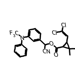 CC1(C)C(C=C(Cl)Cl)C1C(=O)OC(C#N)c1cccc(N(c2ccccc2)C(F)(F)F)c1